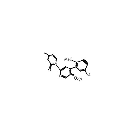 COc1ccc(Cl)cc1-c1cc(-n2ccc(C)cc2=O)ncc1C(=O)O